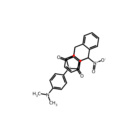 CN(C)c1ccc(N2C(=O)C3=C(C2=O)C2([N+](=O)[O-])c4ccccc4C3c3ccccc32)cc1